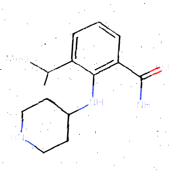 COC(C)c1cccc(C(N)=O)c1NC1CCNCC1